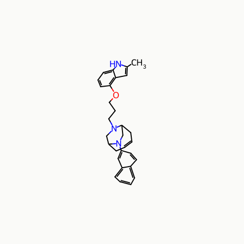 Cc1cc2c(OCCCN3CC4CC=CCC3CN4c3ccc4ccccc4c3)cccc2[nH]1